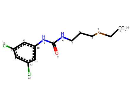 O=C(O)CSCCCNC(=O)Nc1cc(Cl)cc(Cl)c1